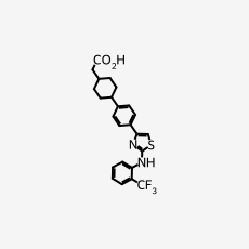 O=C(O)CC1CCC(c2ccc(-c3csc(Nc4ccccc4C(F)(F)F)n3)cc2)CC1